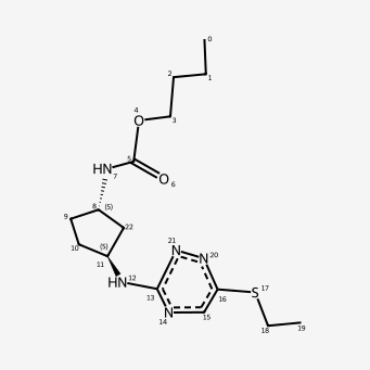 CCCCOC(=O)N[C@H]1CC[C@H](Nc2ncc(SCC)nn2)C1